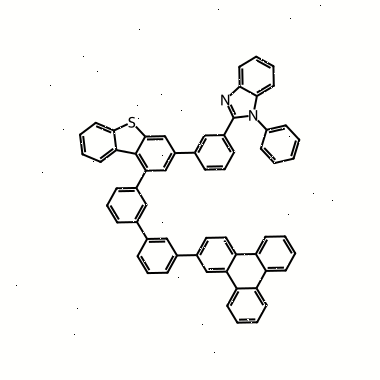 c1ccc(-n2c(-c3cccc(-c4cc(-c5cccc(-c6cccc(-c7ccc8c9ccccc9c9ccccc9c8c7)c6)c5)c5c(c4)sc4ccccc45)c3)nc3ccccc32)cc1